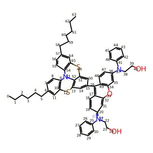 CCCCCCc1ccc2c(c1)Sc1cc(-c3c4cc/c(=[N+](/CCO)c5ccccc5)cc-4oc4cc(N(CCO)c5ccccc5)ccc34)cc3c1N2c1ccc(CCCCCC)cc1S3